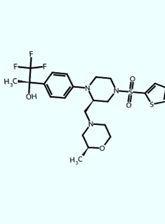 C[C@H]1CN(C[C@@H]2CN(S(=O)(=O)c3cccs3)CCN2c2ccc([C@](C)(O)C(F)(F)F)cc2)CCO1